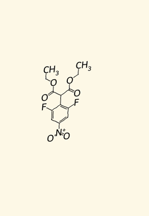 CCOC(=O)C(C(=O)OCC)c1c(F)cc([N+](=O)[O-])cc1F